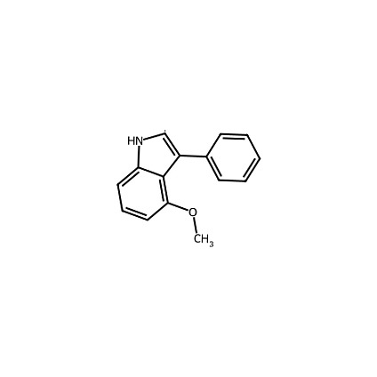 COc1cccc2[nH][c]c(-c3ccccc3)c12